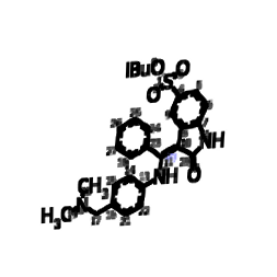 CC(C)COS(=O)(=O)c1ccc2c(c1)/C(=C(/Nc1ccc(CN(C)C)cc1)c1ccccc1)C(=O)N2